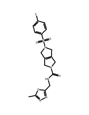 Cc1nnc(CNC(=O)N2CC3=C(C2)CN(S(=O)(=O)c2ccc(F)cc2)C3)o1